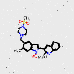 COc1nc2ccccc2cc1-c1cc2cc(CN3CCN(S(C)(=O)=O)CC3)c(C)cc2n1O